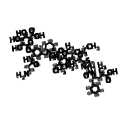 CCCO[C@H](C[C@H](C(C)C)N(C)C(=O)[C@@H](NC(=O)[C@H]1CCCC[N+]1(C)Cc1ccc(O[C@@H]2O[C@H](C(=O)O)[C@@H](O)[C@@H](O)[C@@H]2O)c(NC(=O)CCN)c1)[C@@H](C)CC)c1nc(C(=O)N[C@@H](Cc2ccccc2)C[C@H](C)C(=O)O)cs1